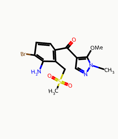 COc1c(C(=O)c2ccc(Br)c(N)c2CS(C)(=O)=O)cnn1C